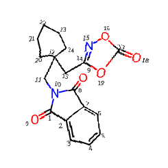 O=C1c2ccccc2C(=O)N1CC1(Cc2noc(=O)o2)CCCCC1